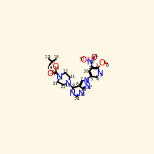 COc1ncc(-n2cc3c(N4CCN(C(=O)OC(C)(C)C)CC4)ncnc3n2)cc1[N+](=O)[O-]